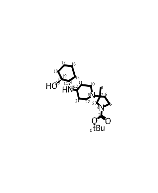 CC(C)(C)OC(=O)N1CCC(C)(N2CCC(N[C@H]3CCCC[C@@H]3O)CC2)C1